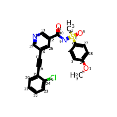 COc1ccc(S(C)(=O)=NC(=O)c2cncc(C#Cc3ccccc3Cl)c2)cc1